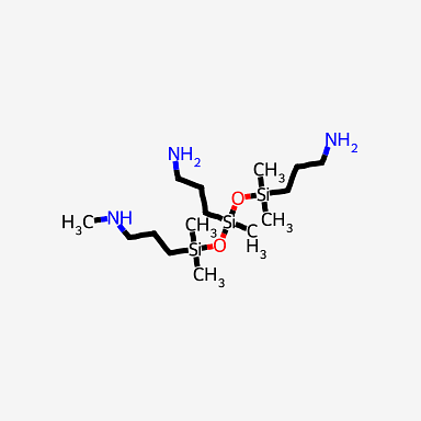 CNCCC[Si](C)(C)O[Si](C)(CCCN)O[Si](C)(C)CCCN